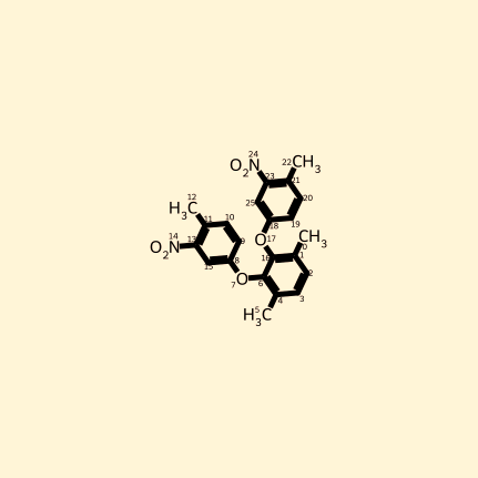 Cc1[c]cc(C)c(Oc2ccc(C)c([N+](=O)[O-])c2)c1Oc1ccc(C)c([N+](=O)[O-])c1